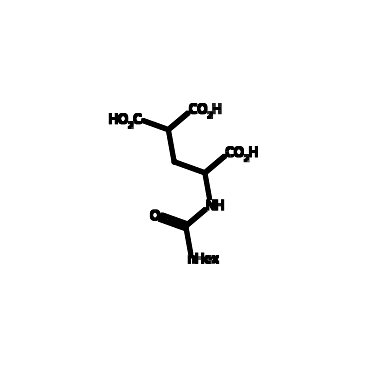 CCCCCCC(=O)NC(CC(C(=O)O)C(=O)O)C(=O)O